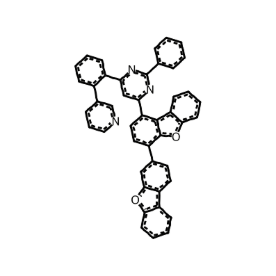 c1ccc(-c2nc(-c3ccccc3-c3cccnc3)cc(-c3ccc(-c4ccc5c(c4)oc4ccccc45)c4oc5ccccc5c34)n2)cc1